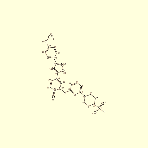 CS(=O)(=O)C1CCN(c2cccc(Cn3nc(-c4nc(-c5ccc(OC(F)(F)F)cc5)no4)ccc3=O)c2)CC1